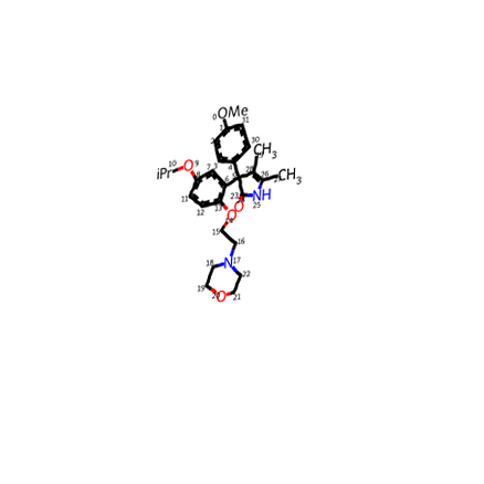 COc1ccc(C2(c3cc(OC(C)C)ccc3OCCN3CCOCC3)C(=O)NC(C)=C2C)cc1